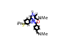 CNCc1ccc(C(=N)OC(NC)C2=C(C)N(C)CC(c3ccc(SC(C)C)cc3)=N2)cc1